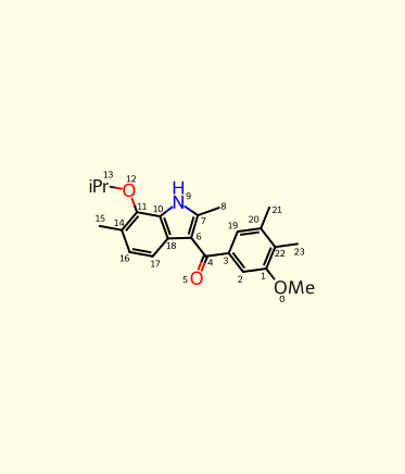 COc1cc(C(=O)c2c(C)[nH]c3c(OC(C)C)c(C)ccc23)cc(C)c1C